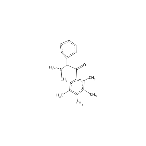 Cc1cc(C(=O)C(c2ccccc2)N(C)C)c(C)c(C)c1C